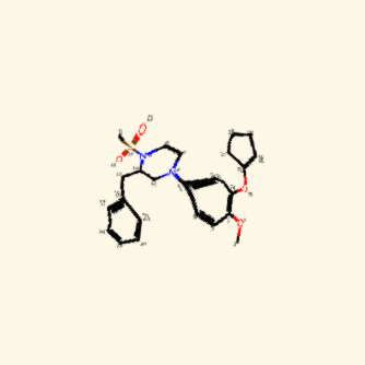 COc1ccc(N2CCN(S(C)(=O)=O)C(Cc3ccccc3)C2)cc1OC1CCCC1